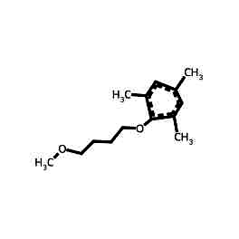 COCCCCOc1c(C)cc(C)cc1C